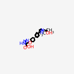 CC(C)(O)Cn1ccc(-c2ccc([C@H]3CC[C@H](Oc4nn[nH]c4C(=O)O)CC3)cc2)n1